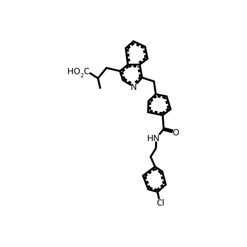 CC(Cc1cnc(Cc2ccc(C(=O)NCCc3ccc(Cl)cc3)cc2)c2ccccc12)C(=O)O